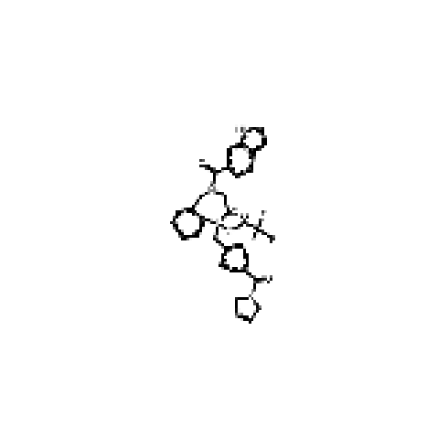 O=C(c1ccc(C[N+]2(OC(=O)C(F)(F)F)C(=O)CN(C(=O)c3ccc4cc[nH]c4c3)Cc3ccccc32)cc1)N1CC=CC1